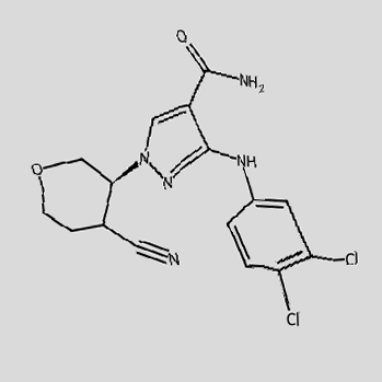 N#CC1CCOC[C@H]1n1cc(C(N)=O)c(Nc2ccc(Cl)c(Cl)c2)n1